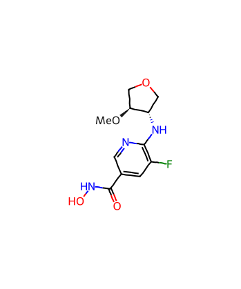 CO[C@H]1COC[C@@H]1Nc1ncc(C(=O)NO)cc1F